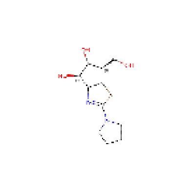 OC[C@H]1C2SC(N3CCCC3)=NC2[C@@H](O)C1O